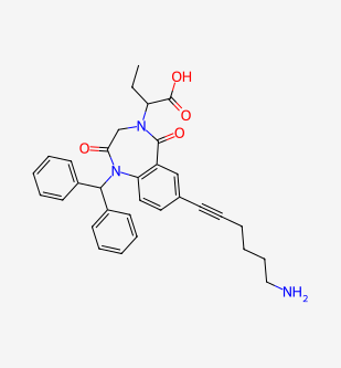 CCC(C(=O)O)N1CC(=O)N(C(c2ccccc2)c2ccccc2)c2ccc(C#CCCCCN)cc2C1=O